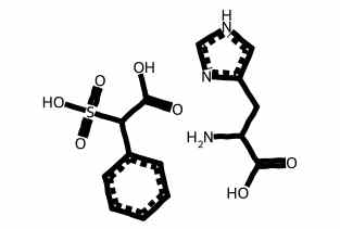 NC(Cc1c[nH]cn1)C(=O)O.O=C(O)C(c1ccccc1)S(=O)(=O)O